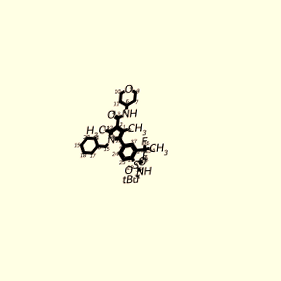 Cc1c(C(=O)NC2CCOCC2)c(C)n(CC2CCCCC2)c1-c1ccc(S(=O)(=O)NC(C)(C)C)c(C(C)(F)F)c1